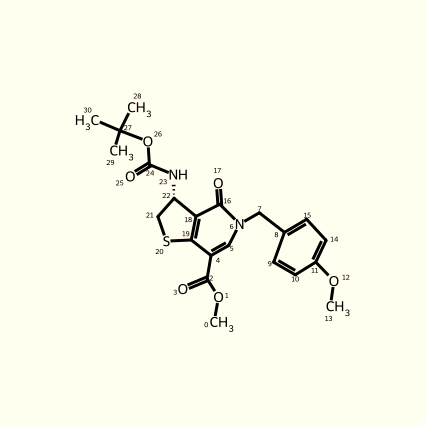 COC(=O)c1cn(Cc2ccc(OC)cc2)c(=O)c2c1SC[C@@H]2NC(=O)OC(C)(C)C